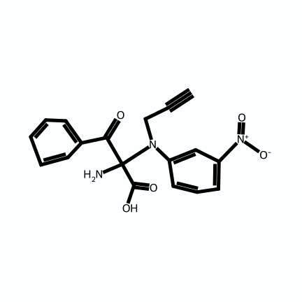 C#CCN(c1cccc([N+](=O)[O-])c1)C(N)(C(=O)O)C(=O)c1ccccc1